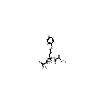 CNC(=S)NC(C)(CCCOc1ccccc1)SCC(N)=O